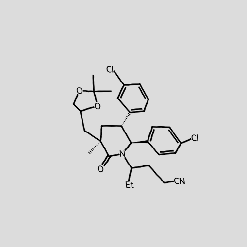 CCC(CCC#N)N1C(=O)[C@@](C)(CC2COC(C)(C)O2)C[C@H](c2cccc(Cl)c2)[C@H]1c1ccc(Cl)cc1